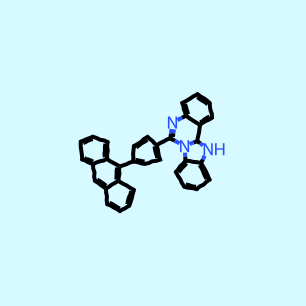 c1ccc2c(c1)N=C(c1ccc(-c3c4ccccc4cc4ccccc34)cc1)N1c3ccccc3NC21